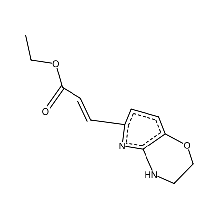 CCOC(=O)/C=C/c1ccc2c(n1)NCCO2